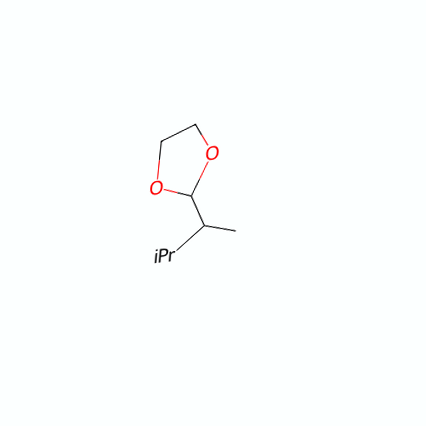 CC(C)C(C)C1OCCO1